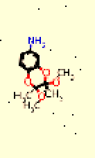 COC1(C)Oc2cc(N)ccc2O[C@]1(C)OC